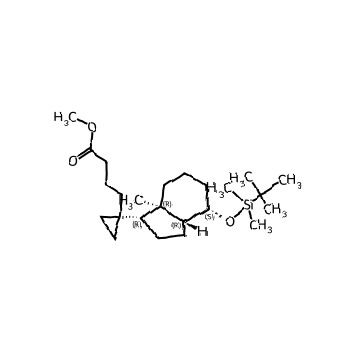 COC(=O)CCCC1([C@H]2CC[C@H]3[C@@H](O[Si](C)(C)C(C)(C)C)CCC[C@]23C)CC1